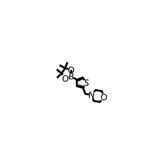 CC1(C)OB(c2csc(CN3CCOCC3)c2)OC1(C)C